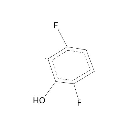 Oc1[c]c(F)ccc1F